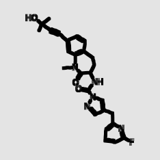 CN1C(=O)C(NC(=O)n2cc(Cc3cccc(F)n3)cn2)CCc2ccc(C#CC(C)(C)O)cc21